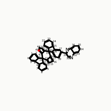 c1ccc2c(c1)-c1ccccc1C21c2ccccc2C2(c3ccccc3-c3cc(-c4cnc5ccccc5n4)ccc32)c2ccccc21